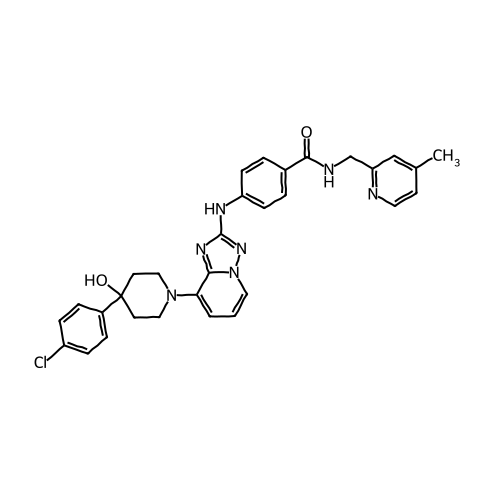 Cc1ccnc(CNC(=O)c2ccc(Nc3nc4c(N5CCC(O)(c6ccc(Cl)cc6)CC5)cccn4n3)cc2)c1